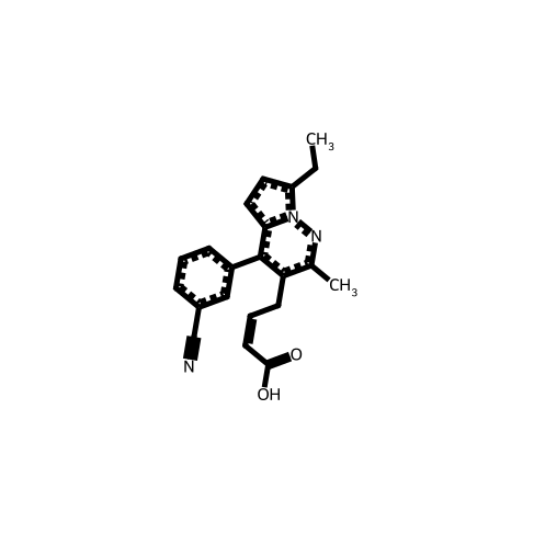 CCc1ccc2c(-c3cccc(C#N)c3)c(CC=CC(=O)O)c(C)nn12